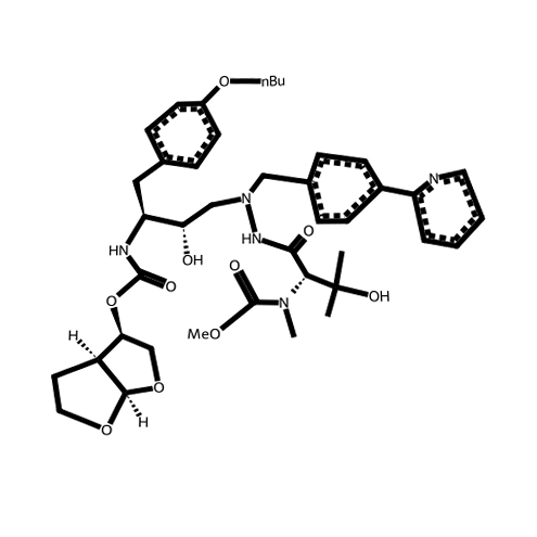 CCCCOc1ccc(C[C@H](NC(=O)O[C@H]2CO[C@H]3OCC[C@H]32)[C@@H](O)CN(Cc2ccc(-c3ccccn3)cc2)NC(=O)[C@@H](N(C)C(=O)OC)C(C)(C)O)cc1